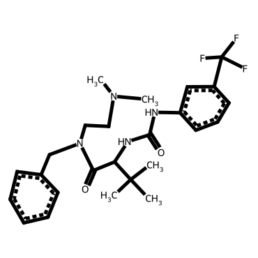 CN(C)CCN(Cc1ccccc1)C(=O)C(NC(=O)Nc1cccc(C(F)(F)F)c1)C(C)(C)C